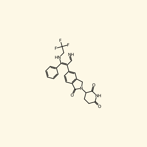 N=C/C(=C(\NCC(F)(F)F)c1ccccc1)c1ccc2c(c1)CN(C1CCC(=O)NC1=O)C2=O